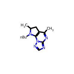 CCCCN1c2c(c(C)nc3ncnn23)CC1C